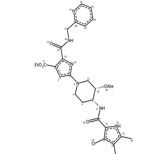 CCOC(=O)c1sc(N2CC[C@@H](NC(=O)c3[nH]c(C)c(Cl)c3Cl)[C@@H](OC)C2)nc1C(=O)NCc1ccccn1